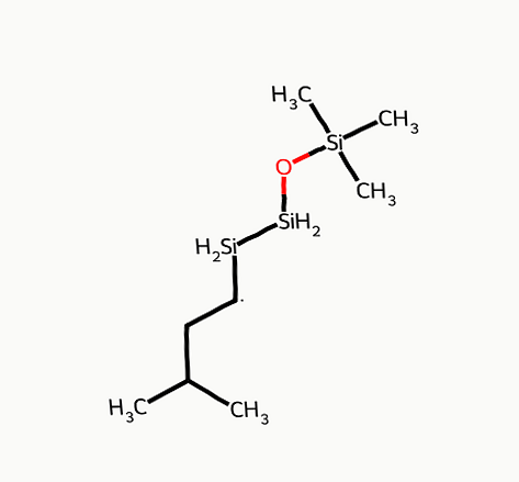 CC(C)C[CH][SiH2][SiH2]O[Si](C)(C)C